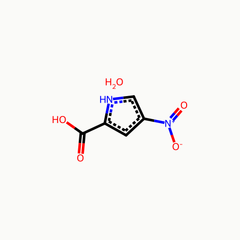 O.O=C(O)c1cc([N+](=O)[O-])c[nH]1